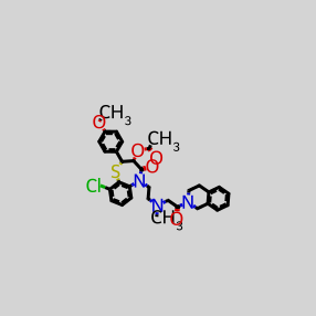 COc1ccc(C2Sc3c(Cl)cccc3N(CCN(C)CC(=O)N3CCc4ccccc4C3)C(=O)C2OC(C)=O)cc1